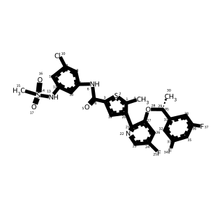 Cc1sc(C(=O)Nc2cc(Cl)cc(NS(C)(=O)=O)c2)cc1-c1ncc(F)cc1O[C@H](C)c1cc(F)cc(F)c1